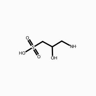 [NH]CC(O)CS(=O)(=O)O